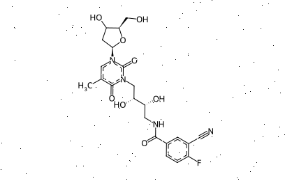 Cc1cn([C@H]2CC(O)[C@@H](CO)O2)c(=O)n(C[C@@H](O)[C@H](O)CNC(=O)c2ccc(F)c(C#N)c2)c1=O